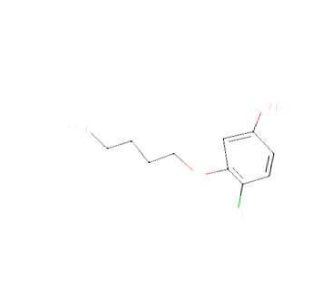 CCCCCCCCCCCCOc1cc(O)ccc1Cl